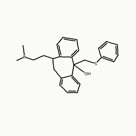 CN(C)CCC1Cc2ccccc2C(O)(CSc2ccccc2)c2ccccc21